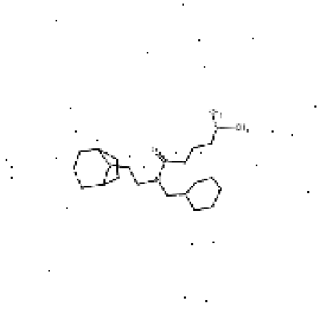 CN(C)CCCC(=O)N(CCN1C2C[CH]CC1CC2)CC1CCCCC1